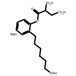 CCCCCCCCCCCCCCCCc1ccccc1OC(=O)C(CC(=O)O)S(=O)(=O)O.[NaH]